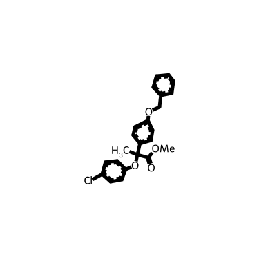 COC(=O)C(C)(Oc1ccc(Cl)cc1)c1ccc(OCc2ccccc2)cc1